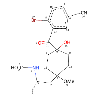 COC1(C[C@H](C)NC(=O)O)CCC(O)(C(=O)c2cc(C#N)ccc2Br)CC1